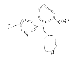 Fc1ccc(CC2CCNCC2)cc1.O=C(O)c1ccccc1